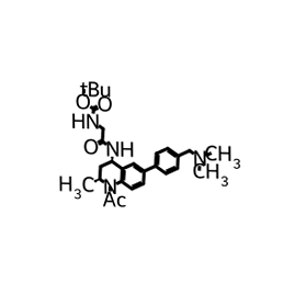 CC(=O)N1c2ccc(-c3ccc(CN(C)C)cc3)cc2[C@H](NC(=O)CNC(=O)OC(C)(C)C)C[C@@H]1C